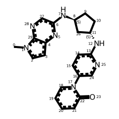 Cn1ccc2nc(N[C@H]3CC[C@H](Nc4ccc(-n5ccccc5=O)cn4)C3)cnc21